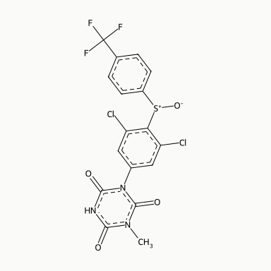 Cn1c(=O)[nH]c(=O)n(-c2cc(Cl)c([S+]([O-])c3ccc(C(F)(F)F)cc3)c(Cl)c2)c1=O